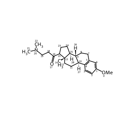 COc1ccc2c(c1)CC[C@@H]1[C@@H]2CC[C@]2(C)C(C(=O)CCN(C)C)CC[C@@H]12